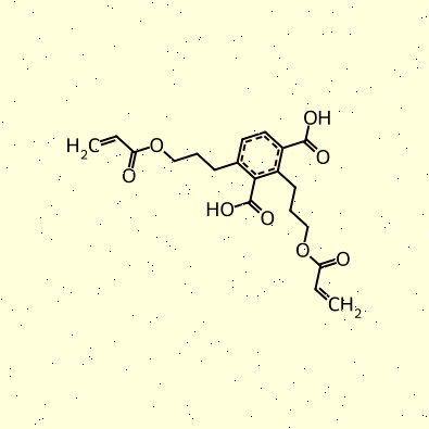 C=CC(=O)OCCCc1ccc(C(=O)O)c(CCCOC(=O)C=C)c1C(=O)O